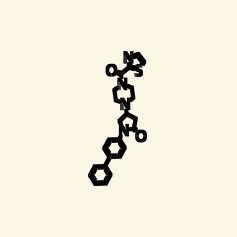 O=C(c1nccs1)N1CCN(C2CC(=O)N(c3ccc(-c4ccccc4)cc3)C2)CC1